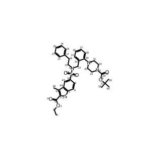 CCOC(=O)c1sc2ccc(S(=O)(=O)N(CCc3ccccc3)Cc3ccccc3N3CCN(C(=O)OC(C)(C)C)CC3)cc2c1C